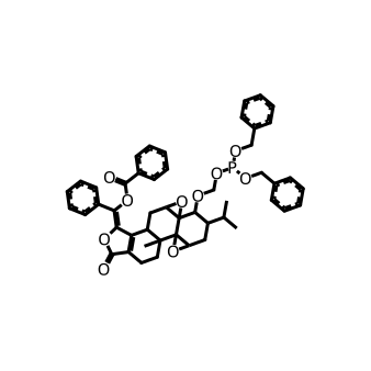 CC(C)C1CC2OC23C2(C)CCC4=C(/C(=C(\OC(=O)c5ccccc5)c5ccccc5)OC4=O)C2CC2OC23C1OCOP(OCc1ccccc1)OCc1ccccc1